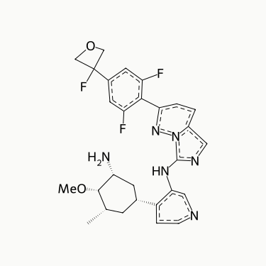 CO[C@@H]1[C@H](N)C[C@H](c2ccncc2Nc2ncc3ccc(-c4c(F)cc(C5(F)COC5)cc4F)nn23)C[C@@H]1C